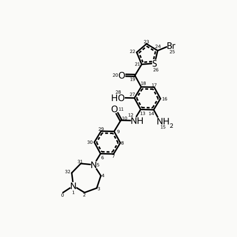 CN1CCCN(c2ccc(C(=O)Nc3c(N)ccc(C(=O)c4ccc(Br)s4)c3O)cc2)CC1